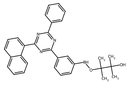 CC(C)(O)C(C)(C)OBc1cccc(-c2nc(-c3ccccc3)nc(-c3cccc4ccccc34)n2)c1